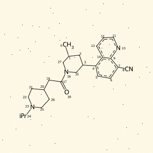 CC1CC(c2ccc(C#N)c3ncccc23)CN(C(=O)CC2CCN(C(C)C)CC2)C1